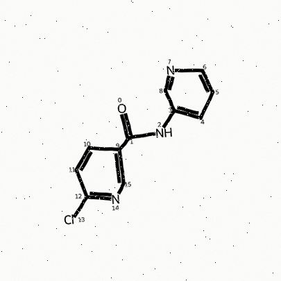 O=C(Nc1cccnc1)c1ccc(Cl)nc1